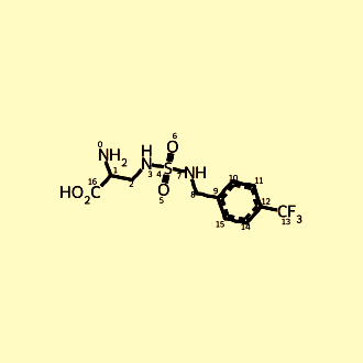 NC(CNS(=O)(=O)NCc1ccc(C(F)(F)F)cc1)C(=O)O